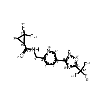 O=C(NCc1ccc(-c2noc(C(F)(F)F)n2)cn1)C1CC1(F)F